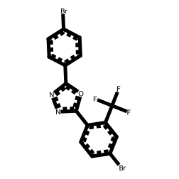 FC(F)(F)c1cc(Br)ccc1-c1nnc(-c2ccc(Br)cc2)o1